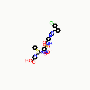 O=C(NS(=O)(=O)c1ccc(N[C@H](CCN2CCC(C(=O)O)CC2)CSc2ccccc2)c([N+](=O)[O-])c1)c1ccc(N2CCN(Cc3ccccc3-c3ccc(Cl)cc3)CC2)cc1